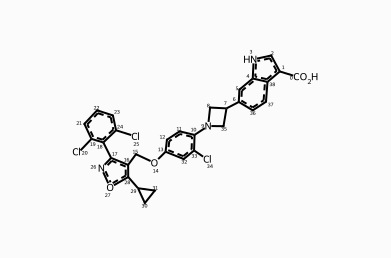 O=C(O)c1c[nH]c2cc(C3CN(c4ccc(OCc5c(-c6c(Cl)cccc6Cl)noc5C5CC5)cc4Cl)C3)ccc12